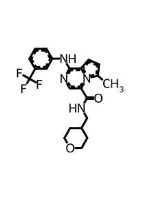 Cc1ccc2c(Nc3cccc(C(F)(F)F)c3)ncc(C(=O)NCC3CCOCC3)n12